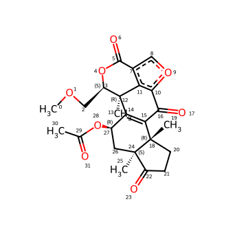 COC[C@H]1OC(=O)c2coc3c2[C@@]1(C)C1=C(C3=O)[C@]2(C)CCC(=O)[C@@]2(C)C[C@H]1OC(C)=O